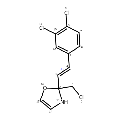 ClCC1(/C=C/c2ccc(Cl)c(Cl)c2)NC=CO1